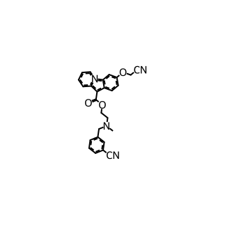 CN(CCOC(=O)c1c2ccc(OCC#N)cc2n2ccccc12)Cc1cccc(C#N)c1